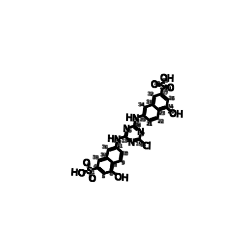 O=S(=O)(O)c1cc(O)c2ccc(Nc3nc(Cl)nc(Nc4ccc5c(O)cc(S(=O)(=O)O)cc5c4)n3)cc2c1